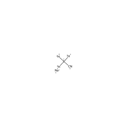 [2H][B-]([2H])([2H])C#N.[Na+]